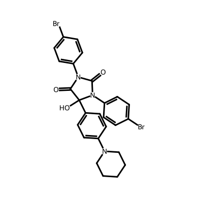 O=C1N(c2ccc(Br)cc2)C(=O)C(O)(c2ccc(N3CCCCC3)cc2)N1c1ccc(Br)cc1